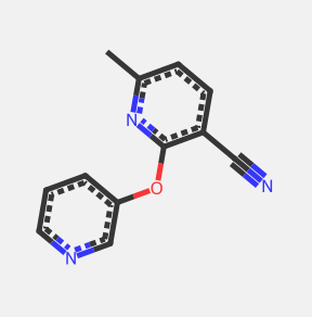 Cc1ccc(C#N)c(Oc2cccnc2)n1